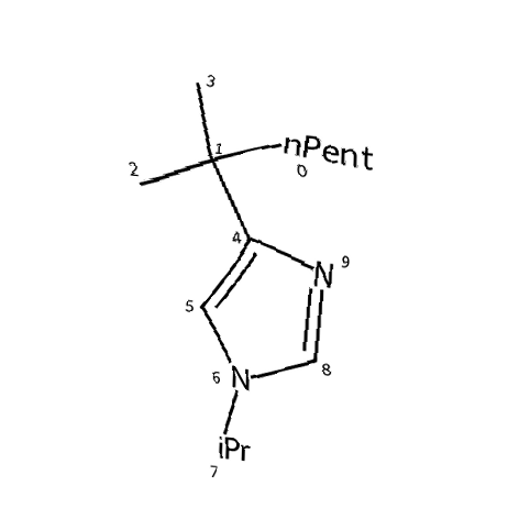 CCCCCC(C)(C)c1cn(C(C)C)cn1